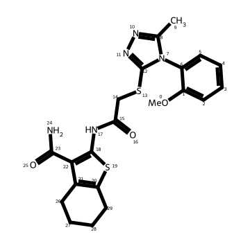 COc1ccccc1-n1c(C)nnc1SCC(=O)Nc1sc2c(c1C(N)=O)CCCC2